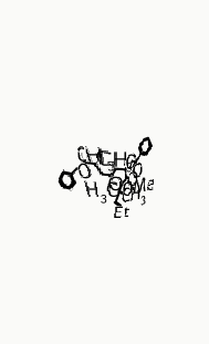 CC/C=C/C(C)(C)[C@]1(OC)OC(C[C@@H](C)[C@@H](C)OCc2ccccc2)C[C@H](OC(=O)c2ccccc2)C1=O